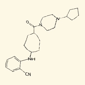 N#Cc1ccccc1NC1CCC(C(=O)N2CCN(C3CCCC3)CC2)CC1